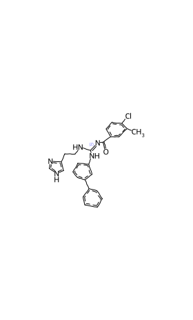 Cc1cc(C(=O)/N=C(/NCCc2c[nH]cn2)Nc2cccc(-c3ccccc3)c2)ccc1Cl